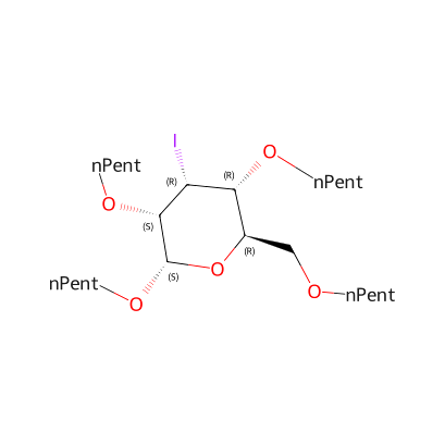 CCCCCOC[C@H]1O[C@H](OCCCCC)[C@H](OCCCCC)[C@H](I)[C@@H]1OCCCCC